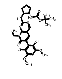 CCn1c(=O)c(-c2c(Cl)c(OC)cc(OC)c2Cl)cc2cnc(NC3CCC[C@@H]3NC(=O)OC(C)(C)C)nc21